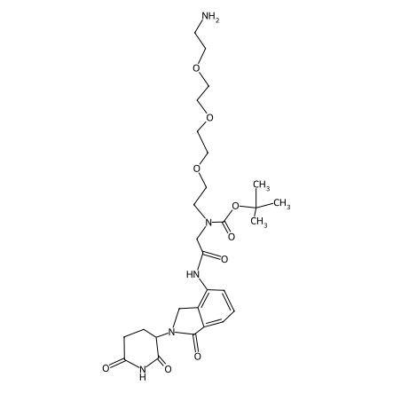 CC(C)(C)OC(=O)N(CCOCCOCCOCCN)CC(=O)Nc1cccc2c1CN(C1CCC(=O)NC1=O)C2=O